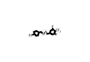 CCc1ccc(C=NN=Cc2cc(F)c(C(F)(F)F)c(F)c2)cc1